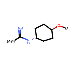 CCO[C@H]1CC[C@H](NC(=N)NC)CC1